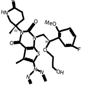 C=NN(N=C)c1sc2c(c1C)c(=O)n([C@@]1(C)CCC(=O)NC1)c(=O)n2C[C@H](OCCO)c1cc(F)ccc1OC